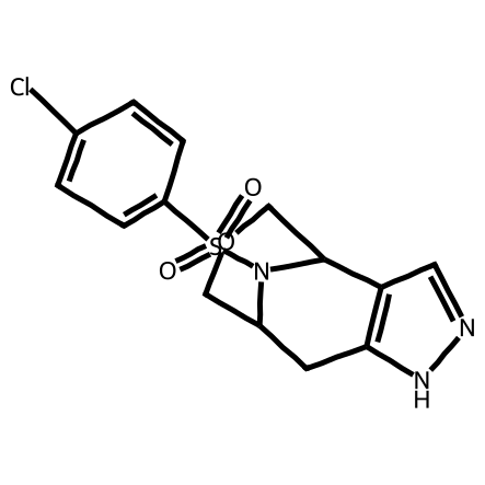 O=S(=O)(c1ccc(Cl)cc1)N1C2COCC1c1cn[nH]c1C2